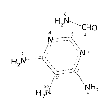 NC=O.Nc1ncnc(N)c1N